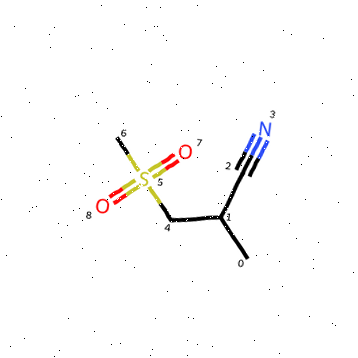 CC(C#N)CS(C)(=O)=O